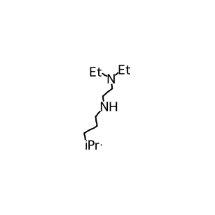 CCN(CC)CCNCCC[C](C)C